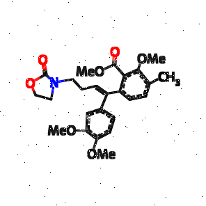 COC(=O)c1c(C(=CCCN2CCOC2=O)c2ccc(OC)c(OC)c2)ccc(C)c1OC